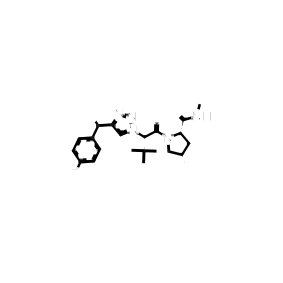 CNC(=O)[C@H]1C[C@H](O)CN1C(=O)[C@@H](n1cc(C(O)c2ccc(F)cc2)nn1)C(C)(C)C